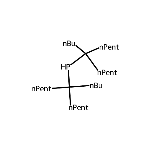 CCCCCC(CCCC)(CCCCC)PC(CCCC)(CCCCC)CCCCC